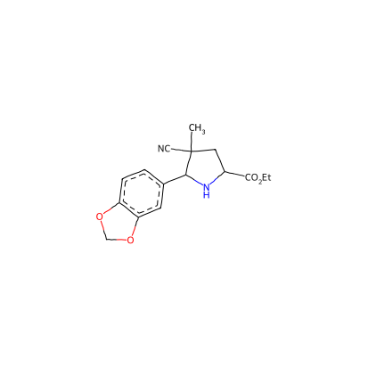 CCOC(=O)C1CC(C)(C#N)C(c2ccc3c(c2)OCO3)N1